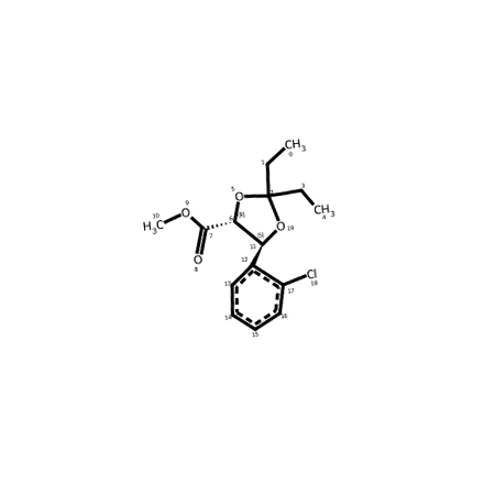 CCC1(CC)O[C@@H](C(=O)OC)[C@H](c2ccccc2Cl)O1